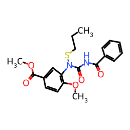 CCCSN(C(=O)NC(=O)c1ccccc1)c1cc(C(=O)OC)ccc1OC